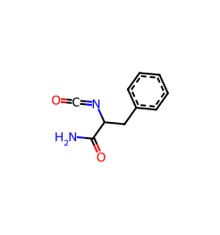 NC(=O)C(Cc1ccccc1)N=C=O